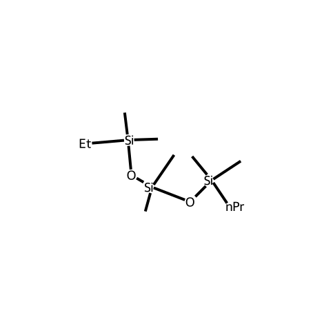 CCC[Si](C)(C)O[Si](C)(C)O[Si](C)(C)CC